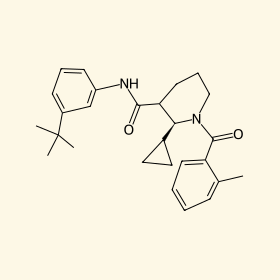 Cc1ccccc1C(=O)N1CCCC(C(=O)Nc2cccc(C(C)(C)C)c2)[C@@H]1C1CC1